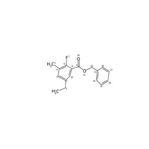 CCc1cc(C)c(F)c(C(=O)OCc2ccccc2)c1